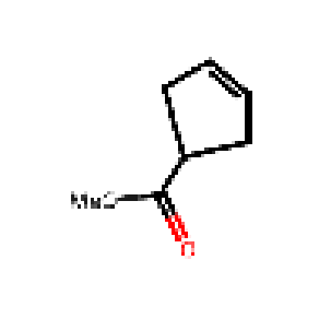 [CH2]OC(=O)C1CC=CC1